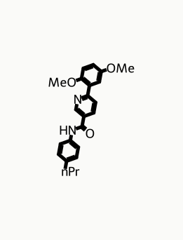 CCCc1ccc(NC(=O)c2ccc(-c3cc(OC)ccc3OC)nc2)cc1